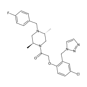 C[C@@H]1CN(C(=O)COc2ccc(Cl)cc2Cn2ccnn2)[C@@H](C)CN1Cc1ccc(F)cc1